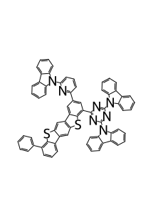 c1ccc(-c2cccc3c2sc2cc4c(cc23)sc2c(-c3nc(-n5c6ccccc6c6ccccc65)nc(-n5c6ccccc6c6ccccc65)n3)cc(-c3cccc(-n5c6ccccc6c6ccccc65)n3)cc24)cc1